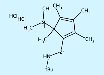 CC1=C(C)C(C)([SiH](C)C)[C]([Zr][NH]C(C)(C)C)=C1C.Cl.Cl